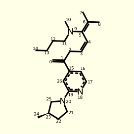 C=C(C/C=C\C(=C(C)C)N(C)CCCC)c1ccnc(N2CC[C@@H](C)C2)c1